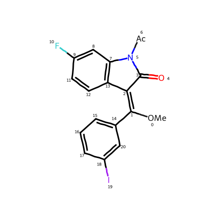 COC(=C1C(=O)N(C(C)=O)c2cc(F)ccc21)c1cccc(I)c1